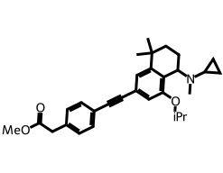 COC(=O)Cc1ccc(C#Cc2cc(OC(C)C)c3c(c2)C(C)(C)CCC3N(C)C2CC2)cc1